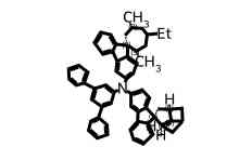 CCC1C[C@@H](C)C[C@]2(c3ccccc3-c3cc(N(c4cc(-c5ccccc5)cc(-c5ccccc5)c4)c4ccc5c(c4)-c4ccccc4[C@@]54C[C@H]5CC6C[C@@H]4[C@@]65C)ccc32)[C@@H](C)C1